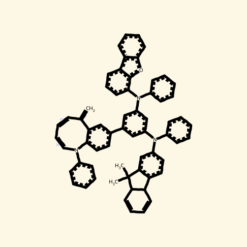 C=C1/C=C\C=C/N(c2ccccc2)c2ccc(-c3cc(N(c4ccccc4)c4ccc5c(c4)C(C)(C)C4C=CC=CC54)cc(N(c4ccccc4)c4cccc5c4oc4ccccc45)c3)cc21